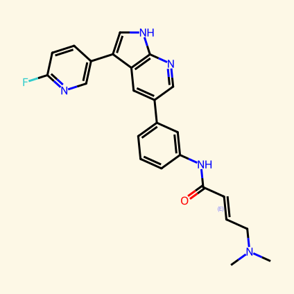 CN(C)C/C=C/C(=O)Nc1cccc(-c2cnc3[nH]cc(-c4ccc(F)nc4)c3c2)c1